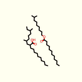 CCCCCCCCCCC(CC(C)CCCC(C)CC)C(=O)O.CCCCCCCCCCCC(=O)OCCCCCCCC(C)C